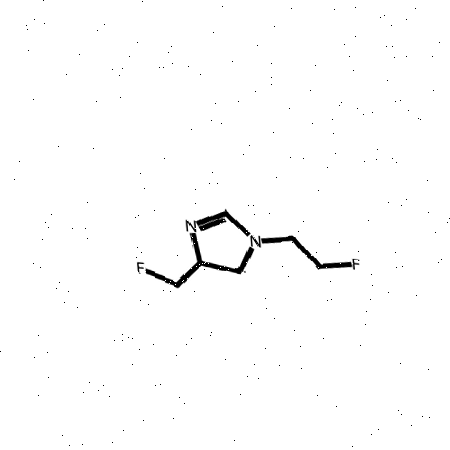 FCCN1[C]=NC(CF)[CH]1